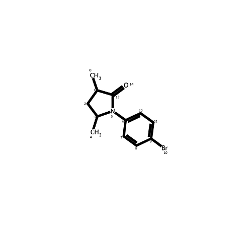 CC1CC(C)N(c2ccc(Br)cc2)C1=O